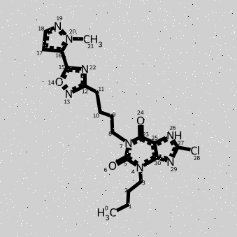 CCCCn1c(=O)n(CCCCc2noc(-c3ccnn3C)n2)c(=O)c2[nH]c(Cl)nc21